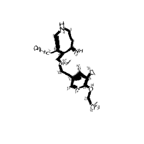 N=C1C=CNC=C(C=O)/C1=C/NCc1cnc(OCC(F)(F)F)c(Cl)c1